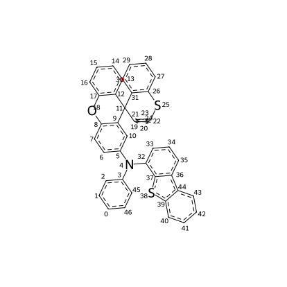 c1ccc(N(c2ccc3c(c2)C2(c4ccccc4O3)c3ccccc3Sc3ccccc32)c2cccc3c2sc2ccccc23)cc1